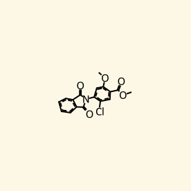 COC(=O)c1cc(Cl)c(N2C(=O)c3ccccc3C2=O)cc1OC